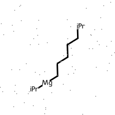 CC(C)CCCC[CH2][Mg][CH](C)C